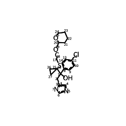 OC(Cn1cncn1)(c1ccc(Cl)cc1)C1(SCCOC2CCCCO2)CC1